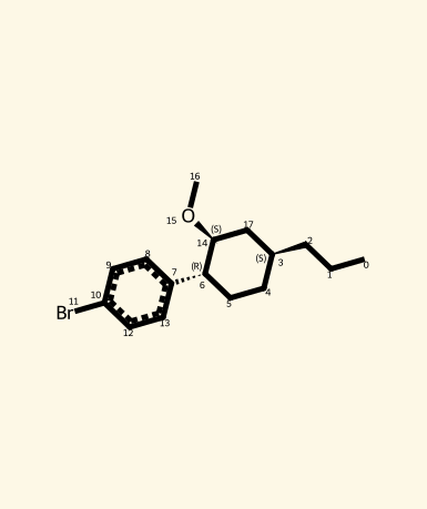 CCC[C@H]1CC[C@H](c2ccc(Br)cc2)[C@@H](OC)C1